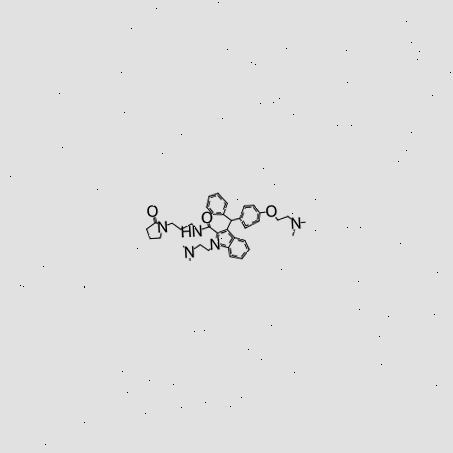 CN(C)CCOc1ccc(C(c2ccccc2)c2c(C(=O)NCCCN3CCCC3=O)n(CCN(C)C)c3ccccc23)cc1